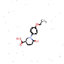 CCOc1ccc(N2CC(C(=O)O)CCC2=O)cc1